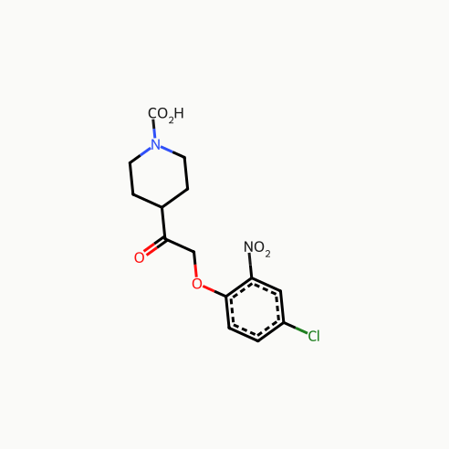 O=C(COc1ccc(Cl)cc1[N+](=O)[O-])C1CCN(C(=O)O)CC1